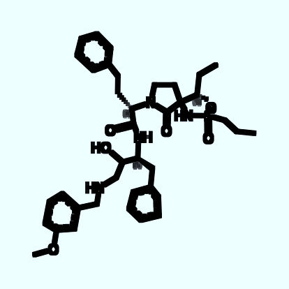 CCCS(=O)(=O)NC1([C@@H](C)CC)CCN([C@@H](CCc2ccccc2)C(=O)N[C@@H](Cc2ccccc2)C(O)CNCc2cccc(OC)c2)C1=O